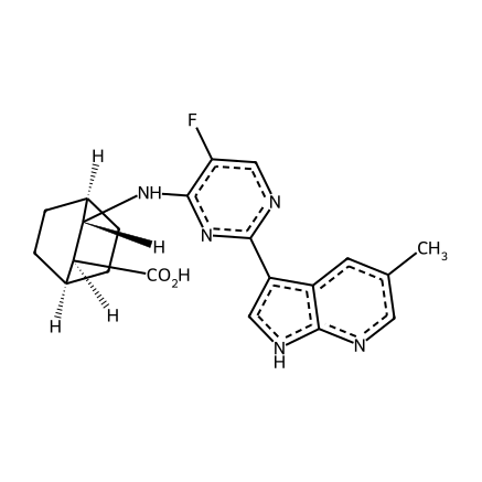 Cc1cnc2[nH]cc(-c3ncc(F)c(N[C@H]4[C@H]5CC[C@H](CC5)[C@@H]4C(=O)O)n3)c2c1